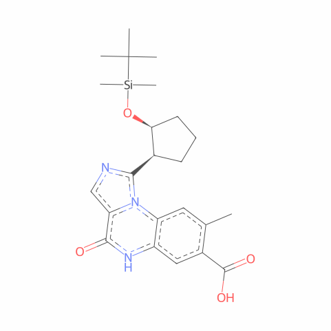 Cc1cc2c(cc1C(=O)O)[nH]c(=O)c1cnc([C@@H]3CCC[C@@H]3O[Si](C)(C)C(C)(C)C)n12